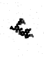 CC(C)CNCc1cc(C(=O)Nc2cccc(-c3ccc(F)cc3-c3nncn3C)c2)c(=O)n(CC2CC2)c1